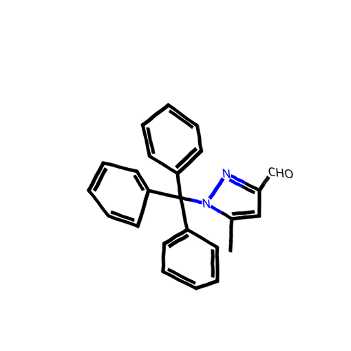 Cc1cc(C=O)nn1C(c1ccccc1)(c1ccccc1)c1ccccc1